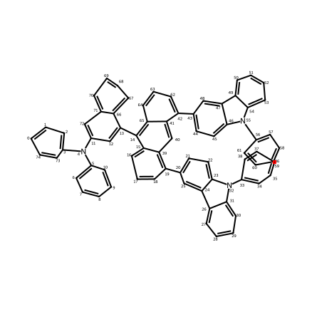 c1ccc(N(c2ccccc2)c2cc(-c3c4cccc(-c5ccc6c(c5)c5ccccc5n6-c5ccccc5)c4cc4c(-c5ccc6c(c5)c5ccccc5n6-c5ccccc5)cccc34)c3ccccc3c2)cc1